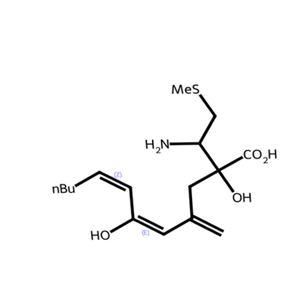 C=C(/C=C(O)\C=C/CCCC)CC(O)(C(=O)O)C(N)CSC